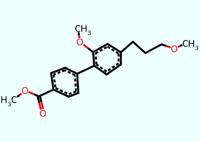 COCCCc1ccc(-c2ccc(C(=O)OC)cc2)c(OC)c1